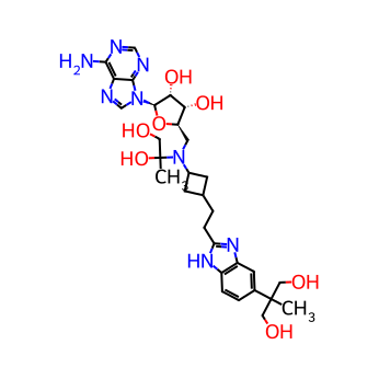 CC(CO)(CO)c1ccc2[nH]c(CCC3CC(N(C[C@H]4O[C@@H](n5cnc6c(N)ncnc65)[C@H](O)[C@@H]4O)C(C)(O)CO)C3)nc2c1